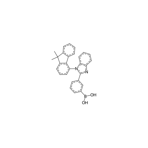 CC1(C)c2ccccc2-c2c(-n3c(-c4cccc(B(O)O)c4)nc4ccccc43)cccc21